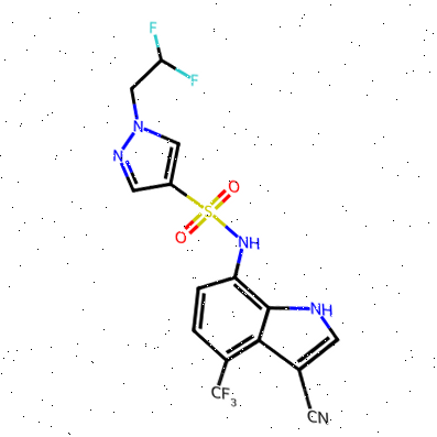 N#Cc1c[nH]c2c(NS(=O)(=O)c3cnn(CC(F)F)c3)ccc(C(F)(F)F)c12